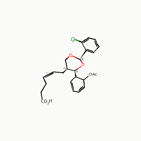 CC(=O)OC1C=CC=CC1[C@@H]1O[C@H](c2ccccc2Cl)OC[C@@H]1C/C=C\CCC(=O)O